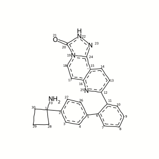 NC1(c2ccc(-c3ccccc3-c3ccc4c(ccn5c(=O)[nH]nc45)n3)cc2)CCC1